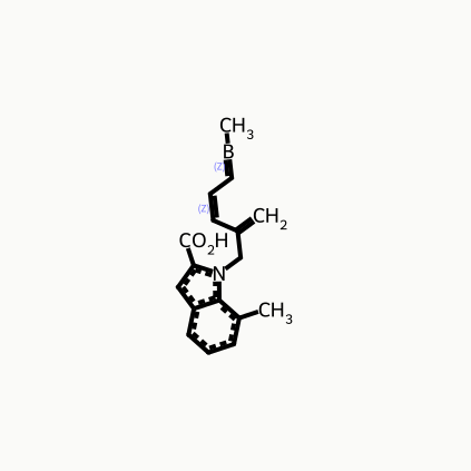 C=C(/C=C\C=B/C)Cn1c(C(=O)O)cc2cccc(C)c21